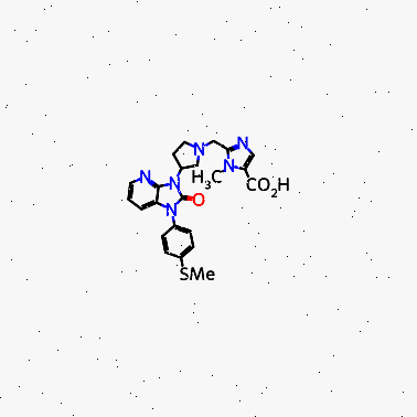 CSc1ccc(-n2c(=O)n(C3CCN(Cc4ncc(C(=O)O)n4C)C3)c3ncccc32)cc1